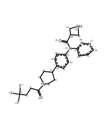 O=C(CCC(F)(F)F)N1CCC(c2ccc(N(C(=O)C3CNC3)c3cccnn3)cc2)CC1